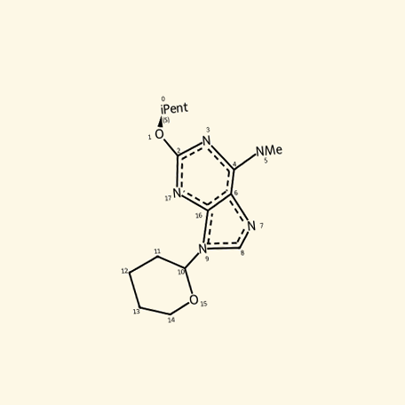 CCC[C@H](C)Oc1nc(NC)c2ncn(C3CCCCO3)c2n1